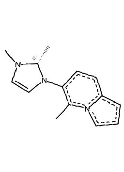 Cc1c(N2C=CN(C)[C@@H]2C)ccc2cccn12